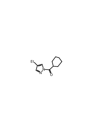 CCc1cnn(C(=O)C2CCCCC2)c1